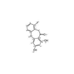 O=C1Cc2c(F)cccc2Oc2cc(O)cc(O)c21